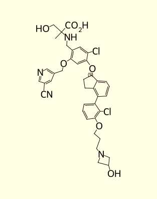 CC(CO)(NCc1cc(Cl)c(O[C@H]2CCc3c(-c4cccc(OCCCN5CC(O)C5)c4Cl)cccc32)cc1OCc1cncc(C#N)c1)C(=O)O